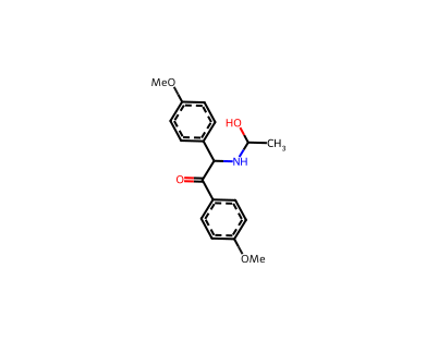 COc1ccc(C(=O)C(NC(C)O)c2ccc(OC)cc2)cc1